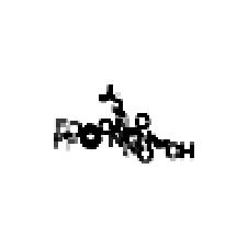 C=C(C)SCCn1c(Oc2cccc(OC(F)(F)F)c2)nc2c1c(=O)n(CCCO)c(=O)n2C